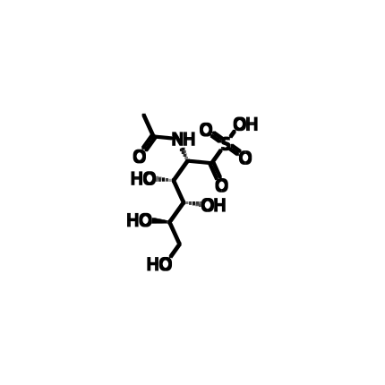 CC(=O)N[C@H](C(=O)S(=O)(=O)O)[C@@H](O)[C@H](O)[C@H](O)CO